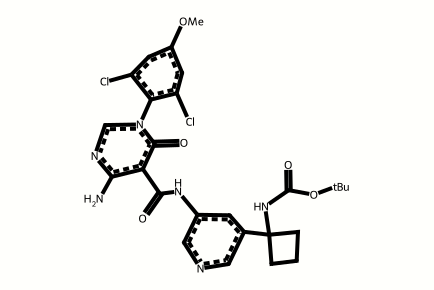 COc1cc(Cl)c(-n2cnc(N)c(C(=O)Nc3cncc(C4(NC(=O)OC(C)(C)C)CCC4)c3)c2=O)c(Cl)c1